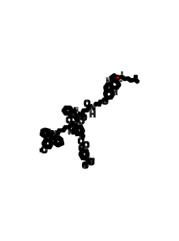 COc1ccc(C(NCCCC[C@H](N)C(=O)N(C(=O)[C@H](Cc2ccccc2F)NC(=O)CCC(=O)NCCCOC2CC[C@@]3(C)C(=CC[C@H]4[C@@H]5CC[C@H]([C@H](C)CCCC(C)C)[C@@]5(C)CC[C@@H]43)C2)c2ccc(COC(=O)Oc3ccc([N+](=O)[O-])cc3)cc2)(c2ccccc2)c2ccccc2)cc1